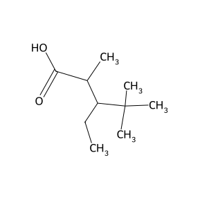 CCC(C(C)C(=O)O)C(C)(C)C